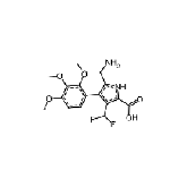 COc1ccc(-c2c(CN)[nH]c(C(=O)O)c2C(F)F)c(OC)c1OC